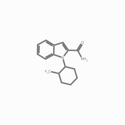 NC(=O)c1cc2ccccc2n1C1CCCCC1C(F)(F)F